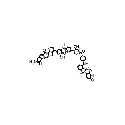 C[C@H]1CN(C(=O)[C@H]2CC[C@H](Nc3cccc4c3C(=O)N(C3CCC(=O)NC3=O)C4=O)CC2)CCN1c1ccc(Nc2cc(-c3ccnc(N4CCn5c(cc6c5CC(C)(C)C6)C4=O)c3CO)cn(C)c2=O)nc1